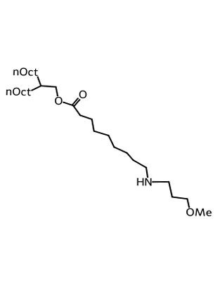 CCCCCCCCC(CCCCCCCC)COC(=O)CCCCCCCCNCCCOC